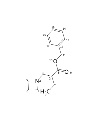 CCC(CN1CCC1)C(=O)OCc1ccccc1